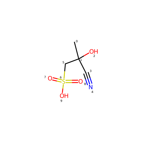 CC(O)(C#N)CS(=O)(=O)O